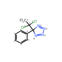 ClC(Cl)(Cl)C(Cl)(Cl)C1(c2ccccc2)N=NN=N1